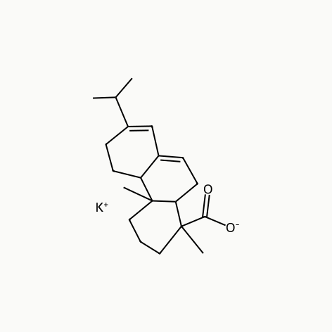 CC(C)C1=CC2=CCC3C(C)(C(=O)[O-])CCCC3(C)C2CC1.[K+]